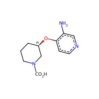 Nc1cnccc1O[C@@H]1CCCN(C(=O)O)C1